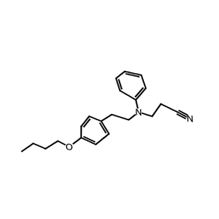 CCCCOc1ccc(CCN(CCC#N)c2ccccc2)cc1